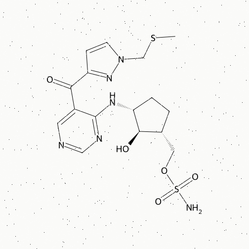 CSCn1ccc(C(=O)c2cncnc2N[C@@H]2CC[C@H](COS(N)(=O)=O)[C@H]2O)n1